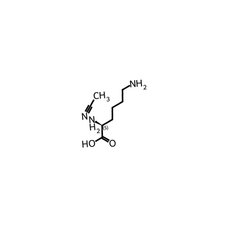 CC#N.NCCCC[C@H](N)C(=O)O